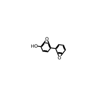 Oc1ccc(-c2cccc3c2O3)c2c1O2